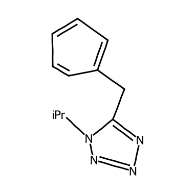 CC(C)n1nnnc1Cc1ccccc1